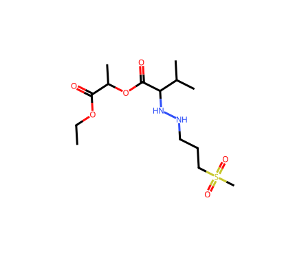 CCOC(=O)C(C)OC(=O)C(NNCCCS(C)(=O)=O)C(C)C